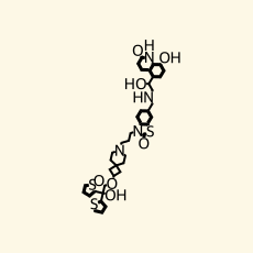 O=C(OC1CC2(CCN(CCCn3c(=O)sc4cc(CNCC(O)c5ccc(O)c6[nH]c(=O)ccc56)ccc43)CC2)C1)C(O)(c1cccs1)c1cccs1